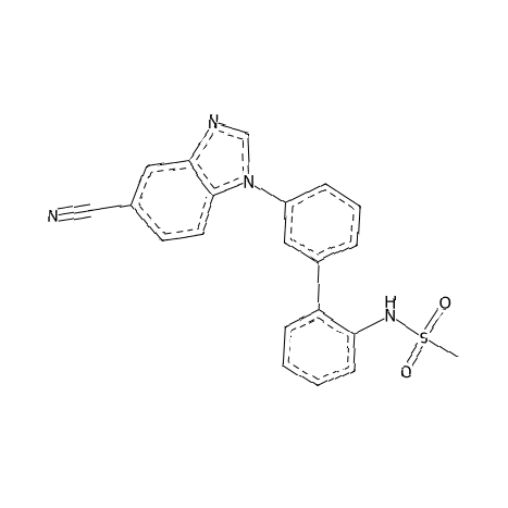 CS(=O)(=O)Nc1ccccc1-c1cccc(-n2cnc3cc(C#N)ccc32)c1